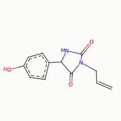 C=CCN1C(=O)NC(c2ccc(O)cc2)C1=O